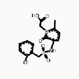 Cc1ccc(NS(=O)(=O)Cc2ccccc2Cl)c(=O)n1CC(=O)O